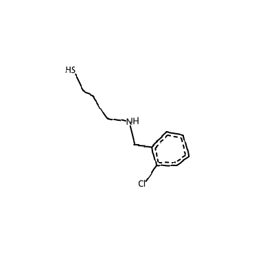 SCCCNCc1ccccc1Cl